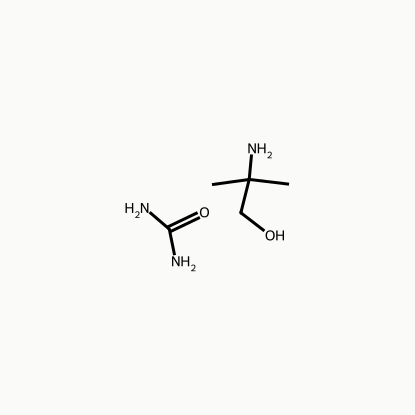 CC(C)(N)CO.NC(N)=O